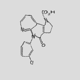 O=C(O)N1CCc2c1c1cccnc1n(-c1cccc(Cl)c1)c2=O